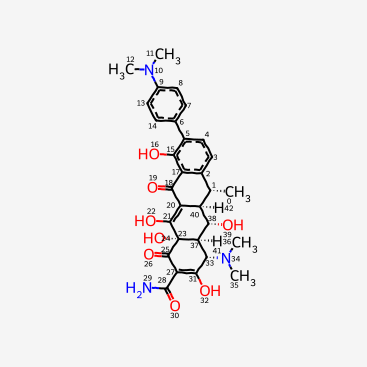 C[C@H]1c2ccc(-c3ccc(N(C)C)cc3)c(O)c2C(=O)C2=C(O)[C@]3(O)C(=O)C(C(N)=O)=C(O)[C@@H](N(C)C)[C@@H]3[C@@H](O)[C@@H]21